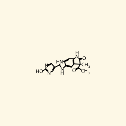 CC(=O)C1(C)C(=O)Nc2cc3c(cc21)NC(c1cnc(O)nc1)N3